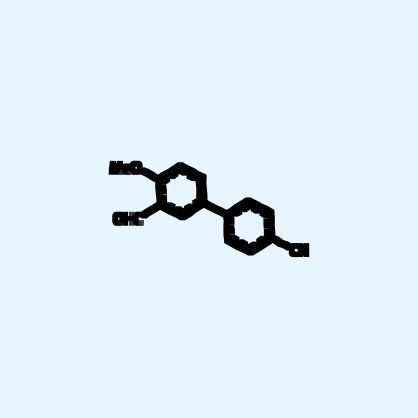 COc1ccc(-c2ccc(C#N)cc2)cc1C=O